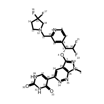 Cn1nc(O[C@H](c2ccnc(CN3CCC(F)(F)C3)c2)C(F)F)c2cc(-c3c[nH]c(=O)[nH]c3=O)nnc21